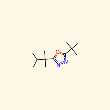 CC(C)C(C)(C)c1nnc(C(C)(C)C)o1